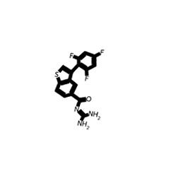 NC(N)=NC(=O)c1ccc2scc(-c3c(F)cc(F)cc3F)c2c1